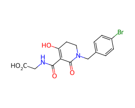 O=C(O)CNC(=O)C1=C(O)CCN(Cc2ccc(Br)cc2)C1=O